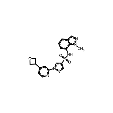 Cn1ncc2cccc(NS(=O)(=O)c3cnn(-c4cc(C5COC5)ccn4)c3)c21